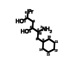 CC(C)C(O)CC(O)[C@@H](N)CC1CCCCC1